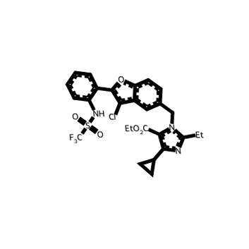 CCOC(=O)c1c(C2CC2)nc(CC)n1Cc1ccc2oc(-c3ccccc3NS(=O)(=O)C(F)(F)F)c(Cl)c2c1